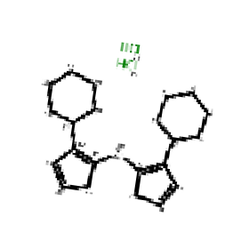 C1=CC(C2CCCCC2)=[C]([Zr][C]2=C(C3CCCCC3)C=CC2)C1.Cl.Cl